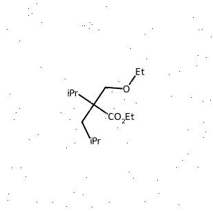 CCOCC(CC(C)C)(C(=O)OCC)C(C)C